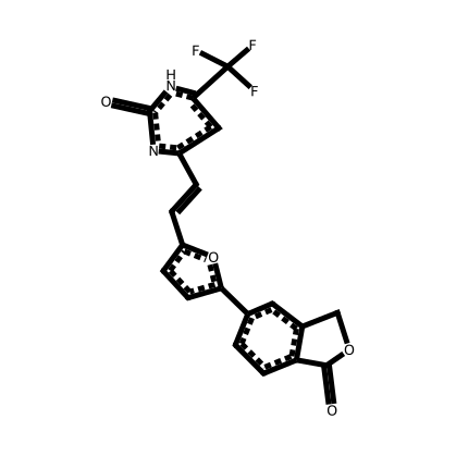 O=C1OCc2cc(-c3ccc(C=Cc4cc(C(F)(F)F)[nH]c(=O)n4)o3)ccc21